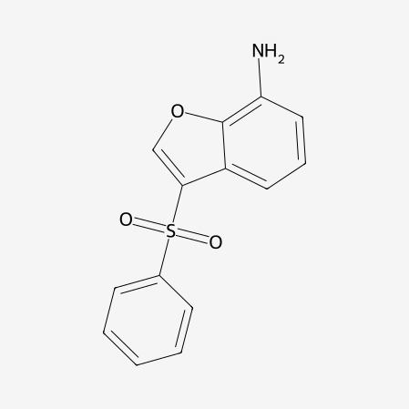 Nc1cccc2c(S(=O)(=O)c3ccccc3)coc12